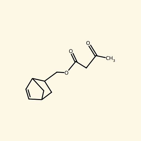 CC(=O)CC(=O)OCC1CC2C=CC1C2